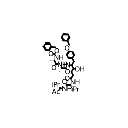 CC(=O)C(NC(=O)[C@@H](NC(=O)CCC(O)C(Cc1ccc(OCc2ccccc2)cc1)NC(=O)[C@H](C)NC(=O)[C@H](C)NC(=O)OCc1ccccc1)C(C)C)C(C)C